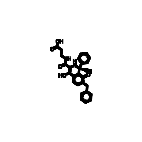 N#CC1(c2ccccc2)NC(C(=O)NCCC(=O)O)=C(O)c2ccn(Cc3ccccc3)c(=O)c21